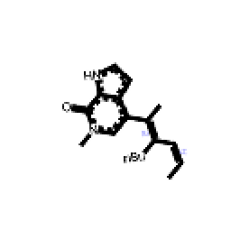 C/C=C\C(CCCC)=C(/C)c1cn(C)c(=O)c2[nH]ccc12